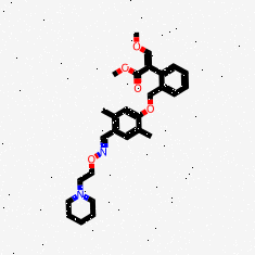 COC=C(C(=O)OC)c1ccccc1COc1cc(C)c(C=NOCCN2CCCCC2)cc1C